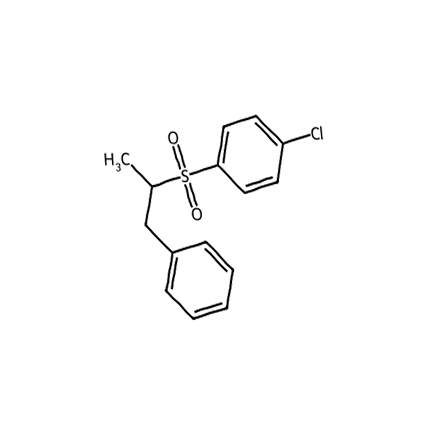 CC(Cc1ccccc1)S(=O)(=O)c1ccc(Cl)cc1